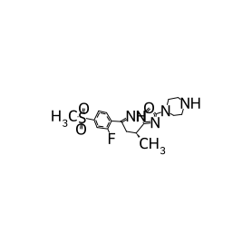 C[C@@H](CC(=N)c1ccc(S(C)(=O)=O)cc1F)c1noc(N2CCNCC2)n1